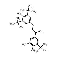 Cc1cc(C(C)CCc2cc(C(C)(C)C)c(O)c(C(C)(C)C)c2)cc(C(C)(C)C)c1O